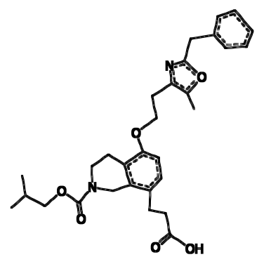 Cc1oc(Cc2ccccc2)nc1CCOc1ccc(CCC(=O)O)c2c1CCN(C(=O)OCC(C)C)C2